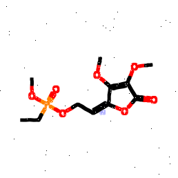 CCP(=O)(OC)OC/C=C1/OC(=O)C(OC)=C1OC